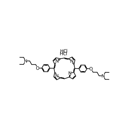 CCN(CC)CCCOc1ccc(C2=C3C=CC(=N3)C=C3C=CC(=N3)C(c3ccc(OCCCN(CC)CC)cc3)=C3C=CC(=N3)C=C3C=CC2=N3)cc1.Cl.Cl